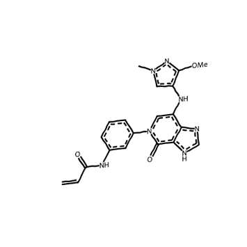 C=CC(=O)Nc1cccc(-n2cc(Nc3cn(C)nc3OC)c3nc[nH]c3c2=O)c1